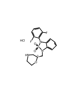 Cl.O=S1(=O)N(C[C@@H]2CNCCO2)c2ccccc2N1c1c(F)cccc1F